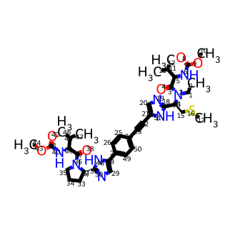 CCN(C(=O)C(NC(=O)OC)C(C)C)[C@@H](CSC)c1ncc(C#Cc2ccc(-c3cnc([C@@H]4CCCN4C(=O)[C@@H](NC(=O)OC)C(C)C)[nH]3)cc2)[nH]1